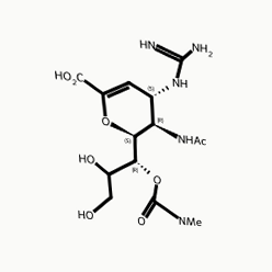 CNC(=O)O[C@H](C(O)CO)[C@H]1OC(C(=O)O)=C[C@H](NC(=N)N)[C@H]1NC(C)=O